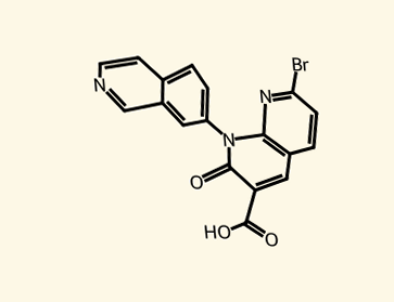 O=C(O)c1cc2ccc(Br)nc2n(-c2ccc3ccncc3c2)c1=O